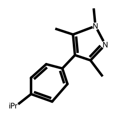 Cc1nn(C)c(C)c1-c1ccc(C(C)C)cc1